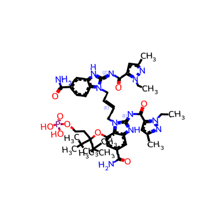 CCn1nc(C)cc1C(=O)/N=c1/[nH]c2cc(C(N)=O)ccc2n1C/C=C/Cn1/c(=N/C(=O)c2cc(C)nn2CC)[nH]c2cc(C(N)=O)cc(OC(CCOP(=O)(O)O)(C(C)(C)C)C(C)(C)C)c21